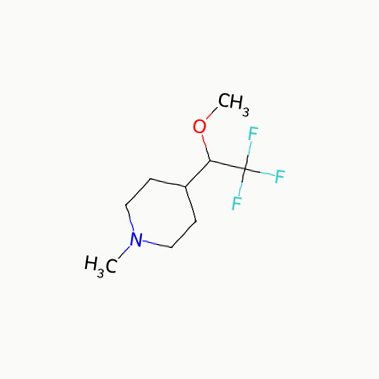 COC(C1CCN(C)CC1)C(F)(F)F